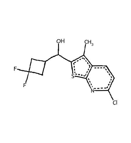 Cc1c(C(O)C2CC(F)(F)C2)sc2nc(Cl)ccc12